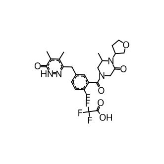 Cc1c(Cc2ccc(F)c(C(=O)N3CC(=O)N(C4CCOC4)C(C)C3)c2)n[nH]c(=O)c1C.O=C(O)C(F)(F)F